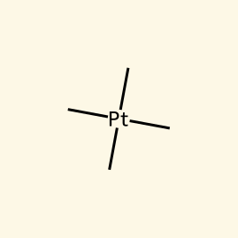 [CH3][Pt]([CH3])([CH3])[CH3]